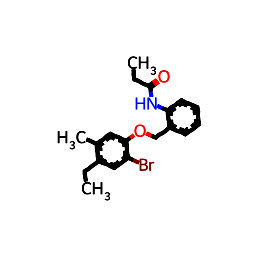 CCC(=O)Nc1ccccc1COc1cc(C)c(CC)cc1Br